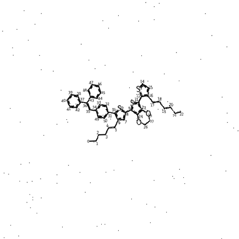 CCCCCCc1cc(-c2sc(-c3sccc3CCCCCC)c3c2OCCO3)sc1-c1ccc(C=C(c2ccccc2)c2ccccc2)cc1